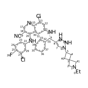 CCN1CC2(CC(N3C=C([C@@H](Nc4cc(Cl)c5ncc(C#N)c(Nc6ccc(F)c(Cl)c6)c5c4)c4ccccc4)NN3)C2)C1